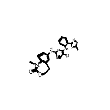 Cc1nnc(-c2ccccc2Nc2nc(Nc3ccc4c(c3)CCOC(=O)N4C)ncc2Cl)s1